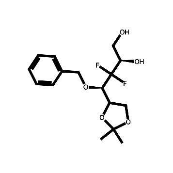 CC1(C)OCC([C@@H](OCc2ccccc2)C(F)(F)[C@H](O)CO)O1